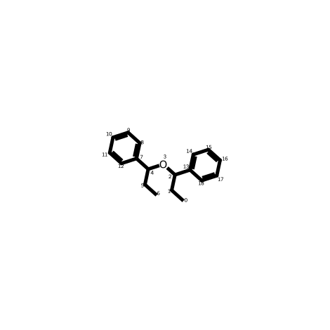 CCC(OC(CC)c1ccccc1)c1ccccc1